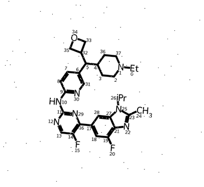 CCN1CCC(C(c2ccc(Nc3ncc(F)c(-c4cc(F)c5nc(C)n(C(C)C)c5c4)n3)nc2)C2COC2)CC1